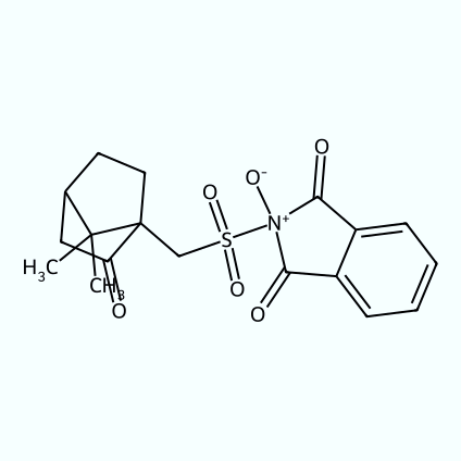 CC1(C)C2CCC1(CS(=O)(=O)[N+]1([O-])C(=O)c3ccccc3C1=O)C(=O)C2